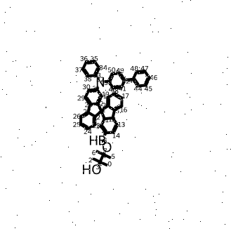 CC(C)(O)C(C)(C)OBC1=CC2C(C=C1)c1ccccc1C21c2ccccc2-c2ccc(N(c3ccccc3)c3ccc(-c4ccccc4)cc3)cc21